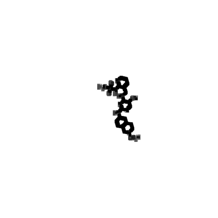 CS(=O)(=O)Nc1ncccc1CNc1nc(Nc2ccc3c(c2)CCN(C(=O)O)C3)ncc1C#N